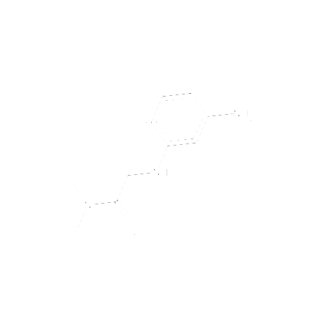 CN(C)C(=O)CNc1cccc(N)c1